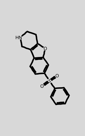 O=S(=O)(c1ccccc1)c1ccc2c3c(oc2c1)CCNC3